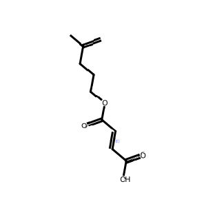 C=C(C)CCCOC(=O)/C=C/C(=O)O